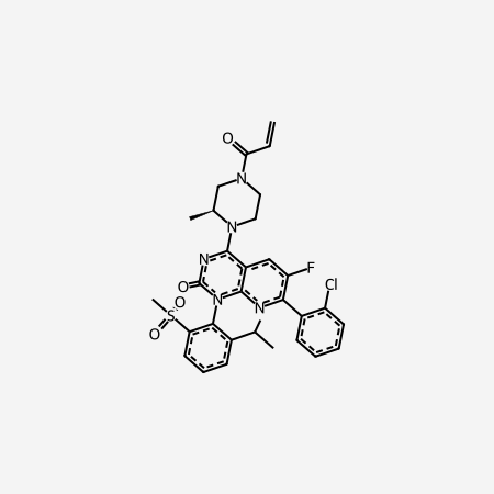 C=CC(=O)N1CCN(c2nc(=O)n(-c3c(C(C)C)cccc3S(C)(=O)=O)c3nc(-c4ccccc4Cl)c(F)cc23)[C@@H](C)C1